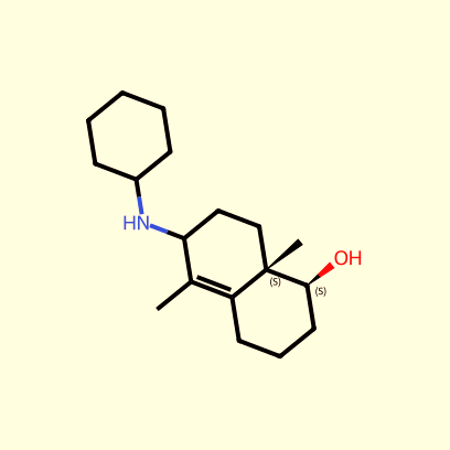 CC1=C2CCC[C@H](O)[C@@]2(C)CCC1NC1CCCCC1